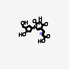 O=C(O)/C=C/c1cn(C2CC(O)C(CO)C2)c(=O)[nH]c1=O